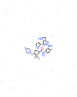 Cc1ccc(NC(=O)c2ccc(CN3CCN(C)CC3)c(C(F)(F)F)c2)cc1Nc1nc(-c2cccnc2)c2[nH]ccc2n1